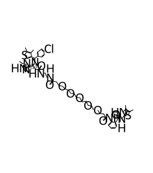 CC1=C(C)SC(NC(=O)c2ccccc2NC(=O)CCOCCOCCOCCOCCOCCC(=O)NCCNC(=O)C[C@@H]2N=C(c3ccc(Cl)cc3)c3c(sc(C)c3C)N3C2=NNC3C)N1